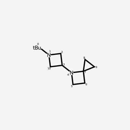 CC(C)(C)N1CC(N2CCC23CC3)C1